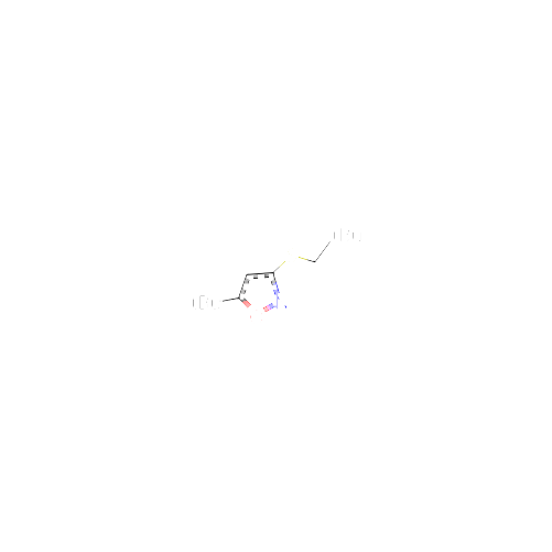 CC(C)(C)CSc1cc(C(C)(C)C)on1